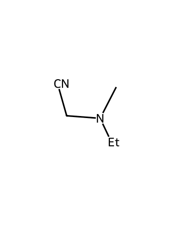 CCN(C)CC#N